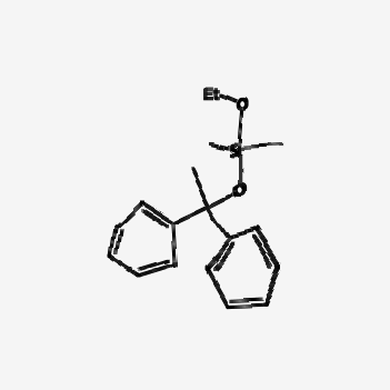 CCO[Si](C)(C)OC(C)(c1ccccc1)c1ccccc1